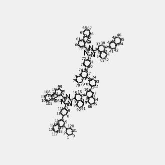 c1ccc(-c2cc(-c3ccc(-c4nc(-c5ccc(-c6cc(-c7cccc(-c8cc(-c9ccc(-c%10nc(-c%11ccc(-c%12ccc%13ccccc%13c%12)c%12ccccc%11%12)nc(-c%11cccc%12c%11sc%11ccccc%11%12)n%10)cc9)cc9ccccc89)c7)cc7ccccc67)c6ccccc56)nc(-c5cccc6c5sc5ccccc56)n4)cc3)cc3ccccc23)cc1